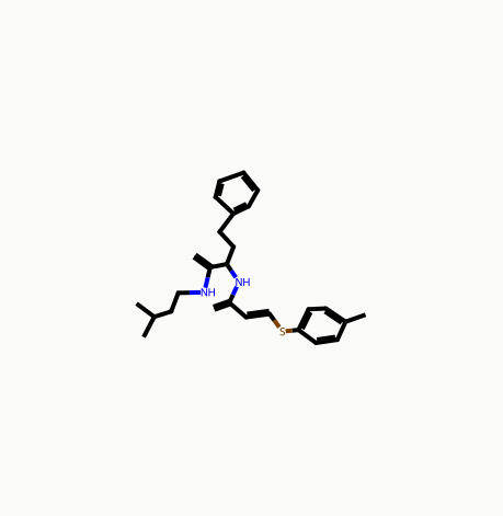 C=C(/C=C/Sc1ccc(C)cc1)NC(CCc1ccccc1)C(=C)NCCC(C)C